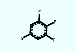 Fc1cc([S])cc(F)c1F